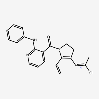 C=CC1=C(/C=C(\C)Cl)CCN1C(=O)c1cccnc1Nc1ccccc1